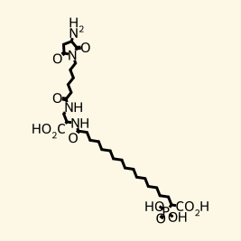 NC1CC(=O)N(CCCCCC(=O)NCC(NC(=O)CCCCCCCCCCCCCCCC(C(=O)O)P(=O)(O)O)C(=O)O)C1=O